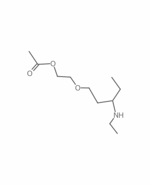 CCNC(CC)CCOCCOC(C)=O